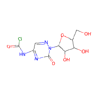 O=C(Cl)Nc1cnn(C2OC(CO)C(O)C2O)c(=O)n1